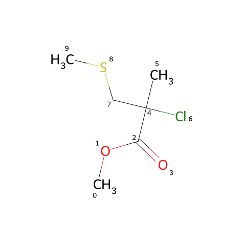 COC(=O)C(C)(Cl)CSC